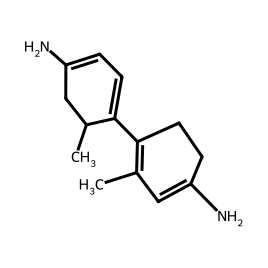 CC1=C(C2=CC=C(N)CC2C)CCC(N)=C1